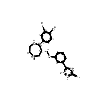 S=c1[nH]c(-c2cccc(OC[C@@H]3CNCCO[C@H]3c3ccc(Cl)c(Cl)c3)c2)no1